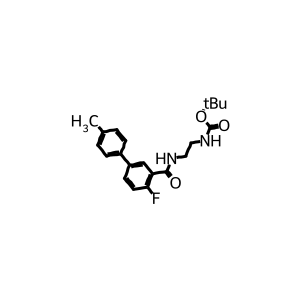 Cc1ccc(-c2ccc(F)c(C(=O)NCCNC(=O)OC(C)(C)C)c2)cc1